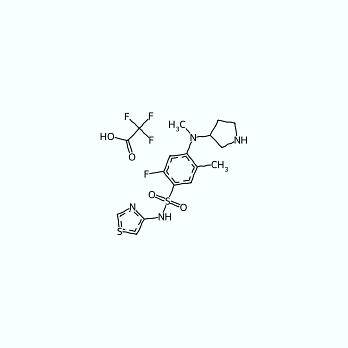 Cc1cc(S(=O)(=O)Nc2cscn2)c(F)cc1N(C)C1CCNC1.O=C(O)C(F)(F)F